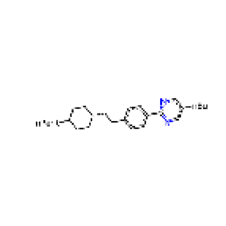 CCCCC[C@H]1CC[C@H](CCc2ccc(-c3ncc(CCCC)cn3)cc2)CC1